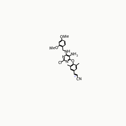 COc1ccc(CNc2nc(Cl)nc(Oc3c(C)cc(/C=C/C#N)cc3C)c2N)c(OC)c1